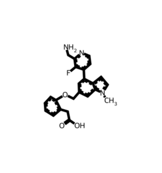 Cn1ccc2c(-c3ccnc(CN)c3F)cc(COc3ccccc3CC(=O)O)cc21